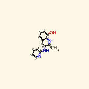 Cc1nc2c(O)cccc2cc1Nc1ccccn1